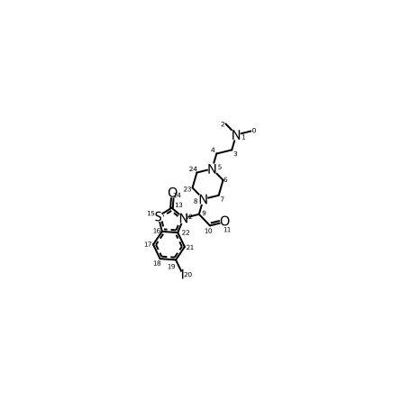 CN(C)CCN1CCN(C(C=O)n2c(=O)sc3ccc(I)cc32)CC1